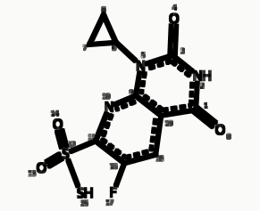 O=c1[nH]c(=O)n(C2CC2)c2nc(S(=O)(=O)S)c(F)cc12